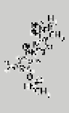 CNC(=O)OCc1nc(C2CC2)cc2c1CN(c1cccc(-c3nncn3C(C)C)n1)C2=O